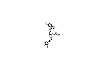 COc1ccc2nccc([C@H](F)CC[C@@H]3CCN(CC#Cc4ccc(C)c(F)c4)C[C@H]3CCC(=O)O)c2c1